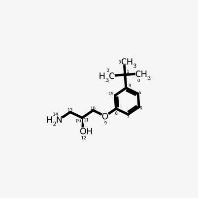 CC(C)(C)c1cccc(OC[C@@H](O)CN)c1